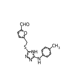 Cc1ccc(Nc2nnc(SCc3ccc(C=O)o3)[nH]2)cc1